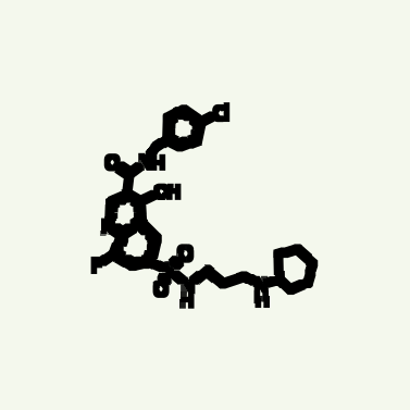 O=C(NCc1ccc(Cl)cc1)c1cnc2c(F)cc(S(=O)(=O)NCCCNC3CCCCC3)cc2c1O